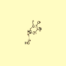 COC.ClCCCl.OCCO.[Ni]